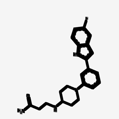 NC(=O)CCNC1CCN(c2cccc(-c3cc4cc(F)ccc4[nH]3)c2)CC1